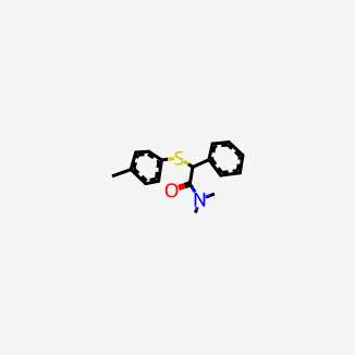 Cc1ccc(SC(C(=O)N(C)C)c2ccccc2)cc1